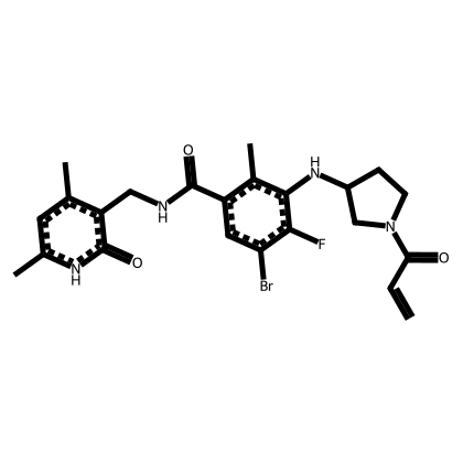 C=CC(=O)N1CCC(Nc2c(C)c(C(=O)NCc3c(C)cc(C)[nH]c3=O)cc(Br)c2F)C1